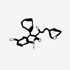 O=C(/C=C/c1ccoc1)c1c(-c2ccccc2)c2cc(Cl)ccc2[nH]c1=O